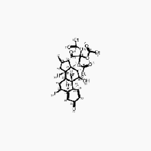 CCC(=O)OC(OC(=O)CC)(OC(=O)CC)C(=O)[C@H]1C(C)C[C@H]2[C@@H]3CC(F)C4=CC(=O)C=C[C@]4(C)[C@@]3(Br)C(O)C[C@]12C